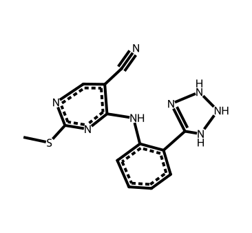 CSc1ncc(C#N)c(Nc2ccccc2C2=NNNN2)n1